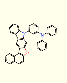 c1ccc(N(c2ccccc2)c2cccc(-n3c4ccccc4c4cc5c(cc43)oc3ccc4ccccc4c35)c2)cc1